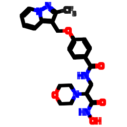 O=C(NCC(C(=O)NO)N1CCOCC1)c1ccc(OCc2c(C(F)(F)F)nn3ccccc23)cc1